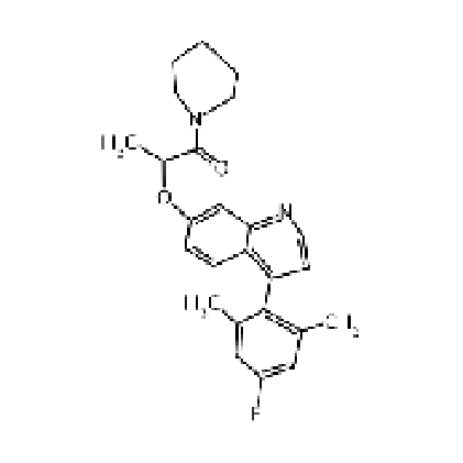 Cc1cc(F)cc(C)c1-c1ccnc2cc(OC(C)C(=O)N3CCCCC3)ccc12